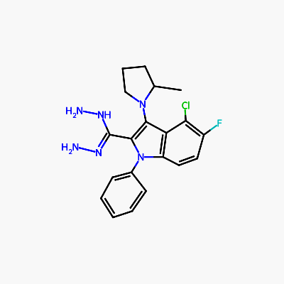 CC1CCCN1c1c(/C(=N/N)NN)n(-c2ccccc2)c2ccc(F)c(Cl)c12